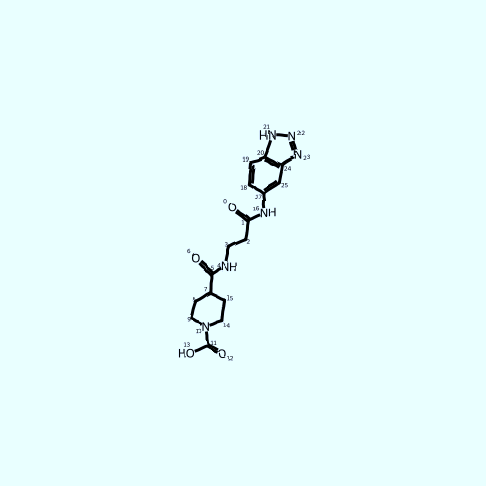 O=C(CCNC(=O)C1CCN(C(=O)O)CC1)Nc1ccc2[nH]nnc2c1